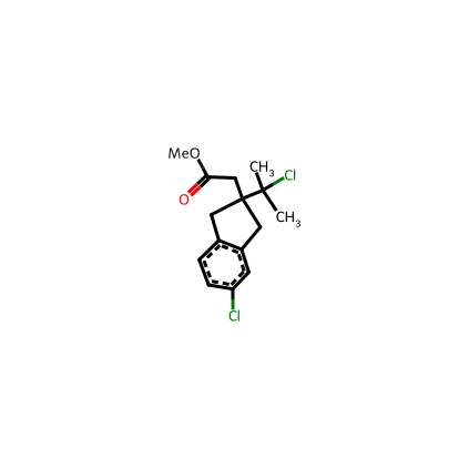 COC(=O)CC1(C(C)(C)Cl)Cc2ccc(Cl)cc2C1